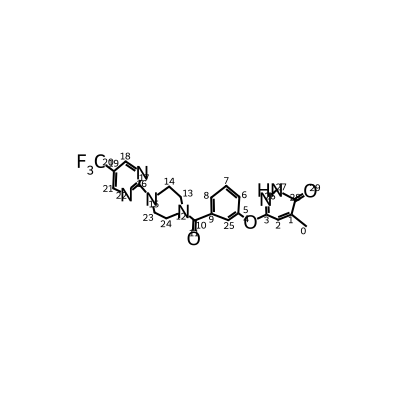 Cc1cc(Oc2cccc(C(=O)N3CCN(c4ncc(C(F)(F)F)cn4)CC3)c2)n[nH]c1=O